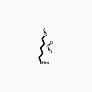 CCCCCCCCCCC[O][V].ClOCl